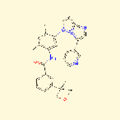 Cc1cc(C)c(-n2ccc3ncc(-c4cccnc4)n32)cc1NC(=O)c1cccc(C2(C)COC2)c1